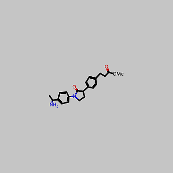 COC(=O)CCc1ccc(C2CCN(c3ccc(C(C)N)cc3)C2=O)cc1